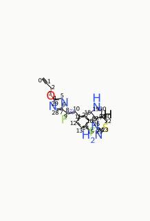 C#CCOc1cnc(/C(F)=C/c2ccc(F)c([C@]34CNC[C@H]3CSC(N)=N4)c2)cn1